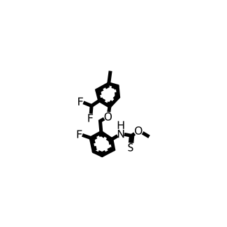 COC(=S)Nc1cccc(F)c1COc1ccc(C)cc1C(F)F